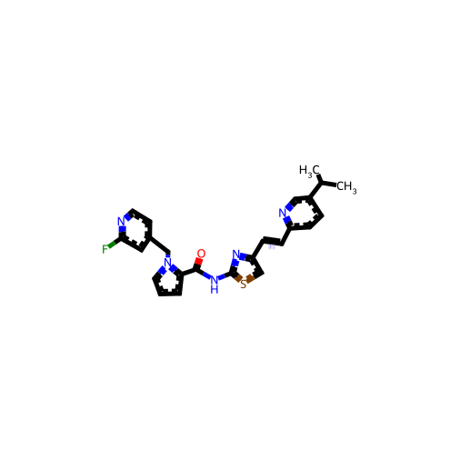 CC(C)c1ccc(/C=C/c2csc(NC(=O)c3cccn3Cc3ccnc(F)c3)n2)nc1